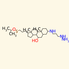 CC(C)OSCCCC1CCC2C3C(O)CC4CC(NCCCNN)CCC4(C)C3CCC12C